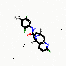 O=C(Nc1cc(Cl)c(C(F)(F)F)cc1F)N1[C@@H]2CC[C@H]1c1ccc(F)nc1C2